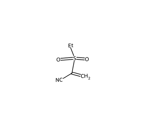 C=C(C#N)S(=O)(=O)CC